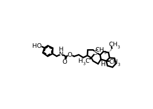 CC[C@H]1CC2[C@H](CCC3(C)C(CCCOC(=O)NCc4ccc(O)cc4)CCS23C)C2(C)CCCCC12